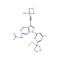 COC1(c2cc(C)cc(-n3cc(C#CC4(O)COC4)c4cnc(NC(C)=O)cc43)n2)CCOC1